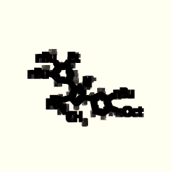 CCCCCCCCc1ccc(C2=CC(CC)=C(c3cc(CC)c(CCCC)c(CCCC)c3)[N+]2=[N-])cc1CCCC.C[CH2][Ni][CH3]